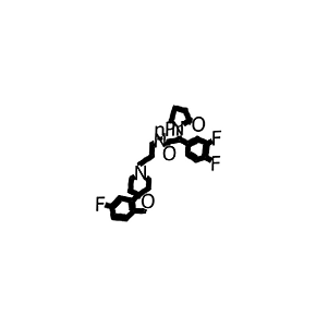 CCCN(CCCN1CCC2(CC1)OCc1ccc(F)cc12)C(=O)C(c1ccc(F)c(F)c1)N1CCCC1=O